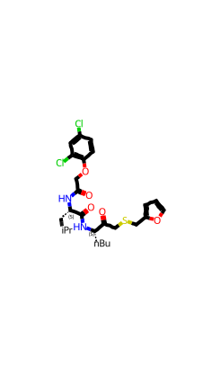 CCCC[C@H](NC(=O)[C@H](CC(C)C)NC(=O)COc1ccc(Cl)cc1Cl)C(=O)CSCc1ccco1